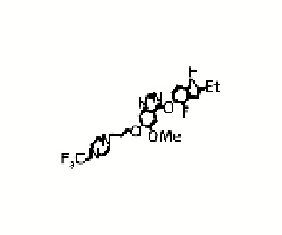 CCc1cc2c(F)c(Oc3ncnc4cc(OCCCN5CCN(CC(F)(F)F)CC5)c(OC)cc34)ccc2[nH]1